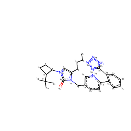 CCCCc1cn(C2CCC2C(C)(C)C)c(=O)n1Cc1ccc(-c2ccccc2-c2nnn[nH]2)nc1